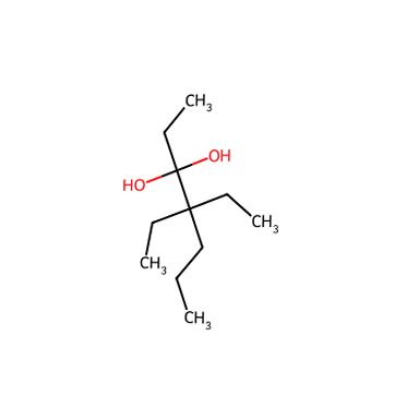 CCCC(CC)(CC)C(O)(O)CC